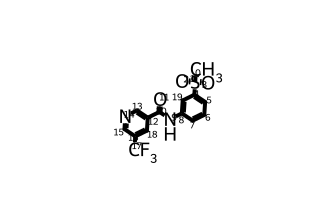 CS(=O)(=O)c1cccc(NC(=O)c2cncc(C(F)(F)F)c2)c1